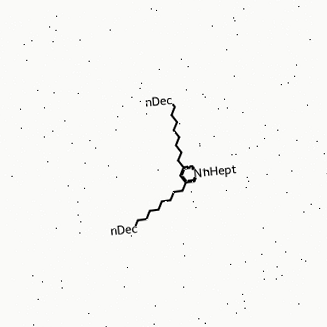 CCCCCCCCCCCCCCCCCCc1cc(CCCCCCCCCCCCCCCCCC)c[n+](CCCCCCC)c1